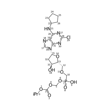 CC(C)OC(=O)OCOP(=O)(O)COC[C@H]1O[C@@H](n2cnc3c(NC4CCCC4)nc(Cl)nc32)C[C@@H]1O